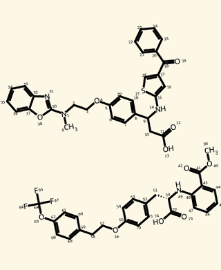 CN(CCOc1ccc(C(CC(=O)O)Nc2cc(C(=O)c3ccccc3)cs2)cc1)c1nc2ccccc2o1.COC(=O)c1ccccc1N[C@@H](Cc1ccc(OCCc2ccc(OC(F)(F)F)cc2)cc1)C(=O)O